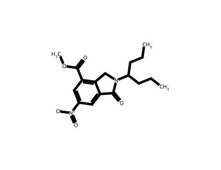 CCCC(CCC)N1Cc2c(C(=O)OC)cc([N+](=O)[O-])cc2C1=O